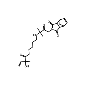 C=CC(C)(O)C(=O)CCCCCNC(C)(C)C(=O)CN1C(=O)C2C3C=CC(C3)C2C1=O